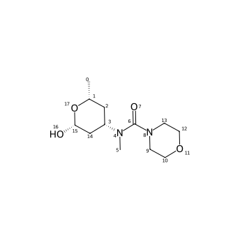 C[C@@H]1C[C@H](N(C)C(=O)N2CCOCC2)C[C@H](O)O1